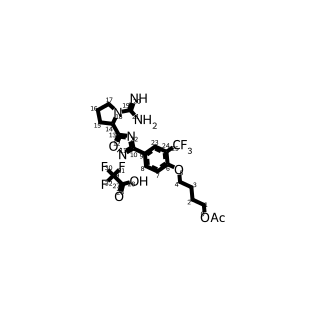 CC(=O)OCCCCOc1ccc(-c2noc(C3CCCN3C(=N)N)n2)cc1C(F)(F)F.O=C(O)C(F)(F)F